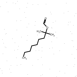 CCCCCCCC(C)(C)OC=O